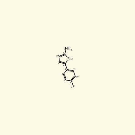 Nc1ncc(-c2ccc(F)cc2)s1